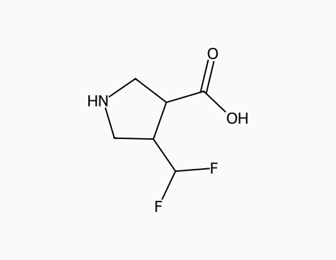 O=C(O)C1CNCC1C(F)F